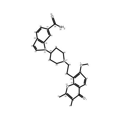 COc1ccc2c(=O)c(C)c(C)oc2c1CCN1CCC(n2ccc3ccc(C(N)=O)cc32)CC1